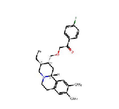 COc1cc2c(cc1OC)[C@H]1C[C@@H](COCC(=O)c3ccc(F)cc3)[C@H](CC(C)C)CN1CC2